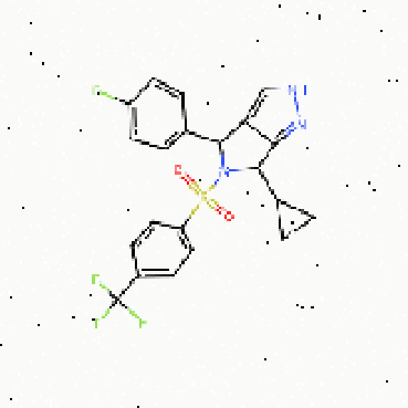 O=S(=O)(c1ccc(C(F)(F)F)cc1)N1C(c2ccc(F)cc2)c2c[nH]nc2C1C1CC1